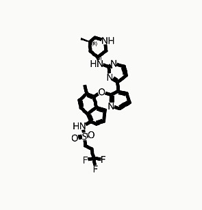 Cc1ccc2c(NS(=O)(=O)CCC(F)(F)F)cccc2c1Oc1ncccc1-c1ccnc(N[C@@H]2CNC[C@H](C)C2)n1